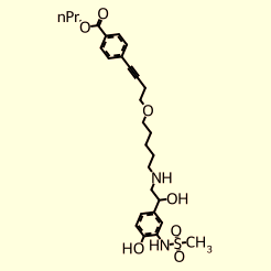 CCCOC(=O)c1ccc(C#CCCOCCCCCNCC(O)c2ccc(O)c(NS(C)(=O)=O)c2)cc1